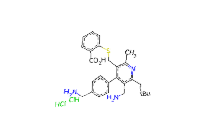 Cc1nc(CC(C)(C)C)c(CN)c(-c2ccc(CN)cc2)c1CSc1ccccc1C(=O)O.Cl.Cl